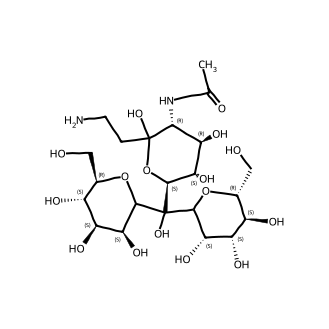 CC(=O)N[C@@H]1[C@@H](O)[C@H](O)[C@@H](C(O)(C2O[C@H](CO)[C@@H](O)[C@H](O)[C@@H]2O)C2O[C@H](CO)[C@@H](O)[C@H](O)[C@@H]2O)OC1(O)CCN